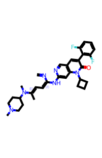 C=N/C(=C\C=C(/C)N(C)C1CCN(C)CC1)Nc1cc2c(cn1)cc(-c1c(F)cccc1F)c(=O)n2C1CCC1